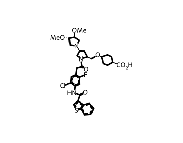 CO[C@H]1CN([C@H]2C[C@@H](CO[C@H]3CC[C@H](C(=O)O)CC3)N(C(=O)Cc3cc(Cl)c(NC(=O)c4csc5ccccc45)cc3F)C2)C[C@@H]1OC